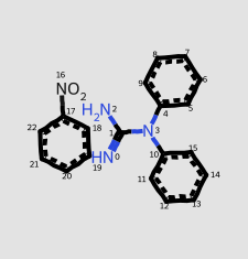 N=C(N)N(c1ccccc1)c1ccccc1.O=[N+]([O-])c1ccccc1